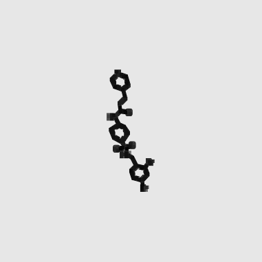 O=C(/C=C/c1ccncc1)Nc1ccc(S(=O)(=O)NCc2ccc(Br)cc2Br)cc1